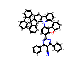 N#Cc1c(-c2ccccc2)nc(-c2ccc(-n3c4ccccc4c4ccc5c(c43)-c3ccccc3C53c4ccccc4-c4ccccc43)c3c2oc2ccccc23)nc1-c1ccccc1